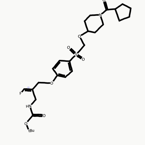 CC(C)(C)OC(=O)NC/C(=C\F)COc1ccc(S(=O)(=O)COC2CCN(C(=O)C3CCCC3)CC2)cc1